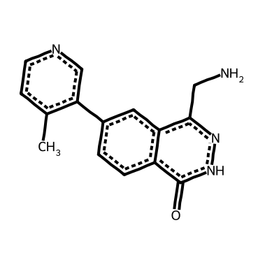 Cc1ccncc1-c1ccc2c(=O)[nH]nc(CN)c2c1